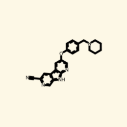 N#Cc1cc2c(cn1)[nH]c1ncc(Oc3ccc(CN4CCCCC4)cc3)cc12